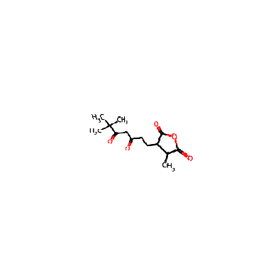 CC1C(=O)OC(=O)C1CCC(=O)CC(=O)C(C)(C)C